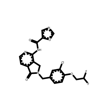 O=C(Nc1nccc2c1CN(Cc1ccc(OCC(F)F)c(Cl)c1)C2=O)c1cnco1